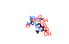 CC(O)C(=O)O.CO/N=C1\CN(c2nc3c(cc2F)c(=O)c(C(=O)O)cn3C2CC2)CC1CN